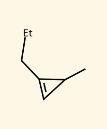 CCCC1=CC1C